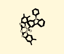 Cc1cc2nc3n(c2cc1C)P(=O)(c1ccc2c(c1)c1ccccc1n2-c1ccccc1)n1c(nc2cc(C)c(C)cc21)O3